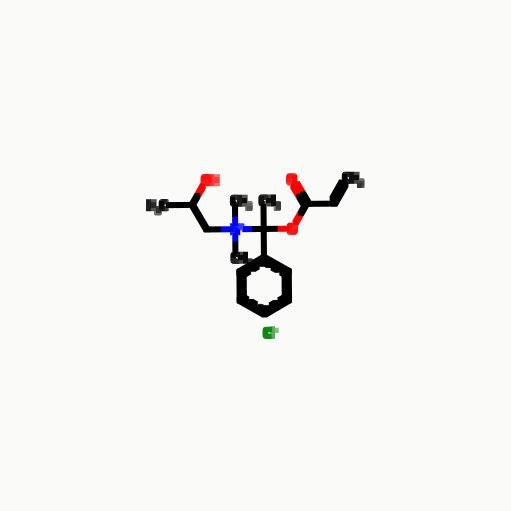 C=CC(=O)OC(C)(c1ccccc1)[N+](C)(C)CC(C)O.[Cl-]